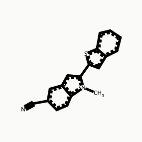 Cn1c(-c2cc3ccccc3s2)cc2cc(C#N)ccc21